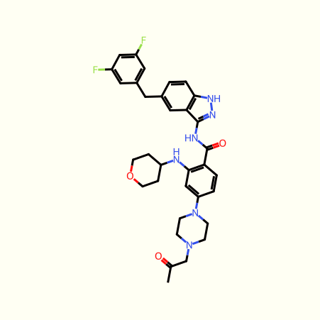 CC(=O)CN1CCN(c2ccc(C(=O)Nc3n[nH]c4ccc(Cc5cc(F)cc(F)c5)cc34)c(NC3CCOCC3)c2)CC1